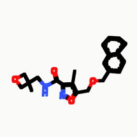 Cc1c(C(=O)NCC2(C)COC2)noc1COCc1ccc2ccccc2c1